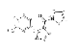 O=C([C@H]1N=CO[C@@H]1c1ccnc(Cl)c1)N1CC=CC1